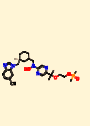 CC(C)(OCCOP(C)(C)=O)c1cnc(N(O)CC2CCC[C@](C)(Cn3cnc4ccc(C#N)cc43)C2)cn1